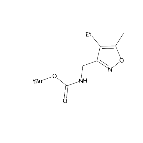 CCc1c(CNC(=O)OC(C)(C)C)noc1C